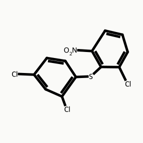 O=[N+]([O-])c1cccc(Cl)c1Sc1ccc(Cl)cc1Cl